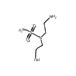 NCCN(CCO)S(N)(=O)=O